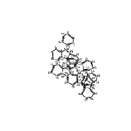 c1ccc(-n2c3ccccc3c3c(-n4c5ccccc5c5ccc(-n6c7ccccc7c7ccccc76)c([Si](c6ccccc6)(c6ccccc6)c6ccccc6)c54)cccc32)cc1